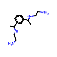 CC(NCCN)c1cccc(C(C)NCCN)c1